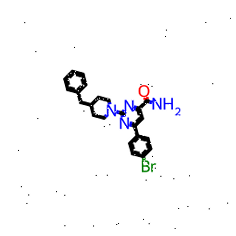 NC(=O)c1cc(-c2ccc(Br)cc2)nc(N2CCC(Cc3ccccc3)CC2)n1